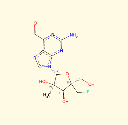 C[C@@]1(O)[C@H](O)[C@](CO)(CF)O[C@H]1n1cnc2c(C=O)nc(N)nc21